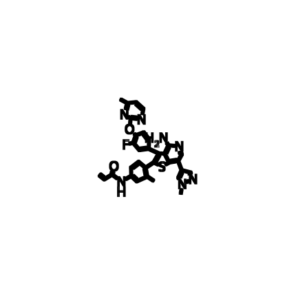 C=CC(=O)Nc1ccc(-c2sc3c(-c4cnn(C)c4)cnc(N)c3c2-c2ccc(Oc3nccc(C)n3)c(F)c2)c(C)c1